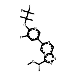 CO[C@H](C)c1nnc2cnc(-c3cnc(OC(C)(C)C(F)(F)F)c(F)c3)cn12